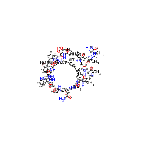 CC(=O)N[C@@H](CC(C)C)C(=O)N[C@H](C(=O)C(=O)[C@H](Cc1ccccc1)NN[C@]1(C)CCCCCC/C=C/CCC[C@@](C)(C(=O)CN[C@@H](C)C(=O)CCN[C@@H](C)C(=O)CCN[C@@H](C)C(=O)CCN[C@@H](C)C(=O)CCC(=O)[C@H](C)NCN(C)CC(N)=O)NC(=O)[C@H](C)NN[C@@H](CCC(N)=O)C(=O)CN[C@@H](C)C(=O)CC(=O)[C@H](Cc2c[nH]c3ccccc23)NN[C@@H](Cc2ccc(O)cc2)C(=O)N[C@@H](CCC(=O)O)C(=O)C1=O)[C@@H](C)O